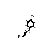 [CH2]C/C=C/Nc1ccc(F)cc1